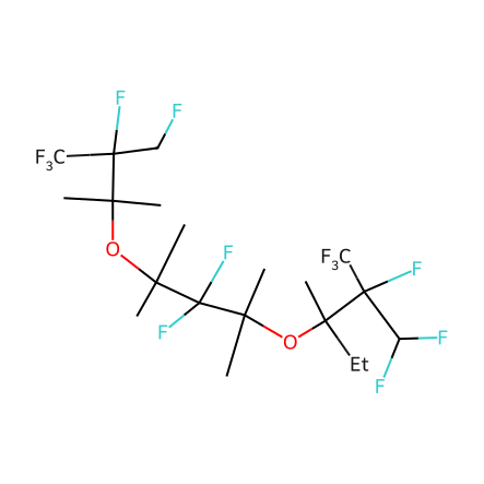 CCC(C)(OC(C)(C)C(F)(F)C(C)(C)OC(C)(C)C(F)(CF)C(F)(F)F)C(F)(C(F)F)C(F)(F)F